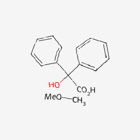 COC.O=C(O)C(O)(c1ccccc1)c1ccccc1